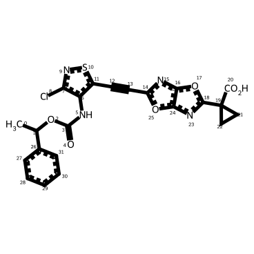 CC(OC(=O)Nc1c(Cl)nsc1C#Cc1nc2oc(C3(C(=O)O)CC3)nc2o1)c1ccccc1